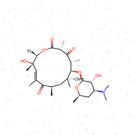 CC[C@H]1OC(=O)[C@H](C)C(=O)[C@H](C)[C@@H](O[C@@H]2O[C@H](C)C[C@H](N(C)C)[C@H]2O)[C@](C)(OC)C[C@@H](C)C(=O)/C(C)=C/[C@]1(C)O